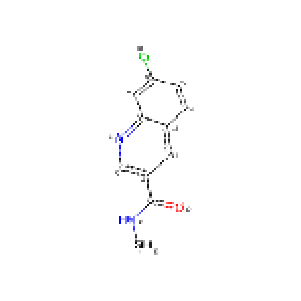 O=C(N[SiH3])c1cnc2cc(Cl)ccc2c1